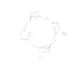 C1=Cc2cc3ccc(cc4nc(cc5ccc(cc1n2)[nH]5)C=C4)[nH]3.[Co].[Mn]